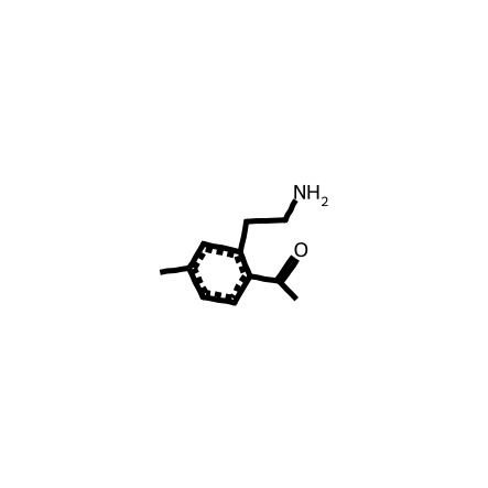 CC(=O)c1ccc(C)cc1CCN